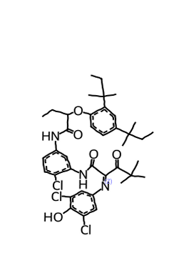 CCC(Oc1ccc(C(C)(C)CC)cc1C(C)(C)CC)C(=O)Nc1ccc(Cl)c(NC(=O)/C(=N\c2cc(Cl)c(O)c(Cl)c2)C(=O)C(C)(C)C)c1